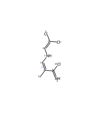 C/C(=C/NC=C(Cl)Cl)C(=N)Cl